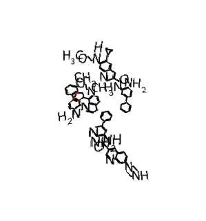 COCCN(C)c1ccc2c(c1C1CCCC1)N(c1cc(-c3ccccc3)ccc1N)C=CC2.COCCNc1cc2ncc(C(=O)Nc3cc(-c4ccccc4)ccc3N)cc2cc1C1CC1.Nc1ncc(-c2ccccc2)cc1NC(=O)c1cnc2cc(N3CCNCC3)ccc2c1